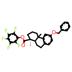 CC12CCC[C@](C)(C(=O)Oc3c(F)c(F)c(F)c(F)c3F)C1CCc1ccc(OCc3ccccc3)cc12